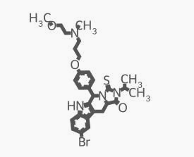 COCCN(C)CCCOc1ccc(C2c3[nH]c4ccc(Br)cc4c3CC3C(=O)N(C(C)C)C(=S)N32)cc1